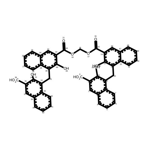 O=C(O)c1cc2ccccc2c(Cc2c(O)c(C(=O)OCOC(=O)c3cc4ccccc4c(Cc4c(O)c(C(=O)O)cc5ccccc45)c3O)cc3ccccc23)c1O